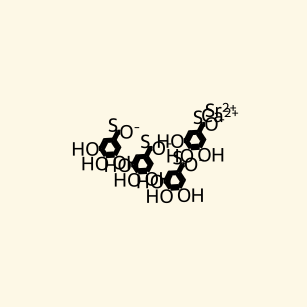 [Ca+2].[O-]C(=S)c1cc(O)c(O)c(O)c1.[O-]C(=S)c1cc(O)c(O)c(O)c1.[O-]C(=S)c1cc(O)c(O)c(O)c1.[O-]C(=S)c1cc(O)c(O)c(O)c1.[Sr+2]